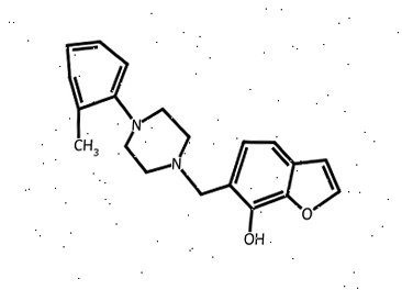 Cc1ccccc1N1CCN(Cc2ccc3ccoc3c2O)CC1